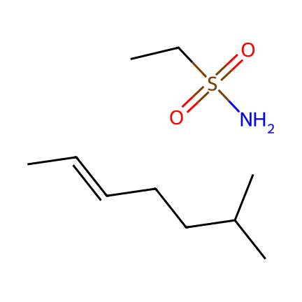 C/C=C/CCC(C)C.CCS(N)(=O)=O